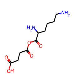 NCCCCC(N)C(=O)OC(=O)CCC(=O)O